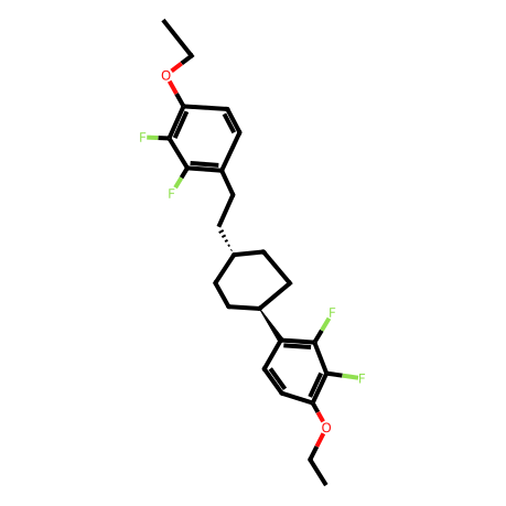 CCOc1ccc(CC[C@H]2CC[C@H](c3ccc(OCC)c(F)c3F)CC2)c(F)c1F